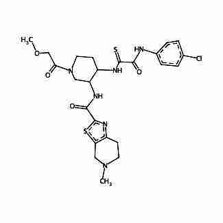 COCC(=O)N1CCC(NC(=S)C(=O)Nc2ccc(Cl)cc2)C(NC(=O)c2nc3c(s2)CN(C)CC3)C1